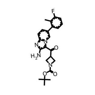 Cc1c(F)cccc1-c1ccc2nc(N)c(C(=O)C3CN(C(=O)OC(C)(C)C)C3)n2c1